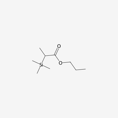 CCCOC(=O)C(C)[Si](C)(C)C